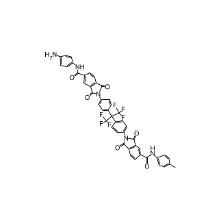 Cc1ccc(NC(=O)c2ccc3c(c2)C(=O)N(c2ccc(C(c4ccc(N5C(=O)c6ccc(C(=O)Nc7ccc(N)cc7)cc6C5=O)cc4)(C(F)(F)F)C(F)(F)F)cc2)C3=O)cc1